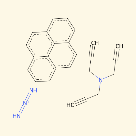 C#CCN(CC#C)CC#C.N=[N+]=N.c1cc2ccc3cccc4ccc(c1)c2c34